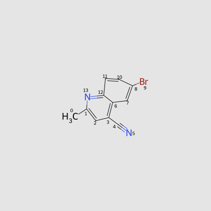 Cc1cc(C#N)c2cc(Br)ccc2n1